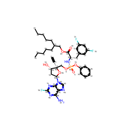 C#C[C@]1(CO[P@@](=O)(N[C@@H](Cc2cc(F)cc(F)c2)C(=O)OCC(CCCCC)CCCCC)Oc2ccccc2)O[C@@H](n2cnc3c(N)nc(F)nc32)C[C@@H]1O